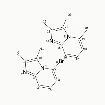 Cc1nc2cccc(Br)n2c1C.Cc1nc2cccc(C)n2c1I